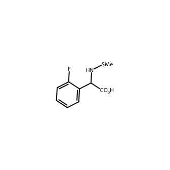 CSNC(C(=O)O)c1ccccc1F